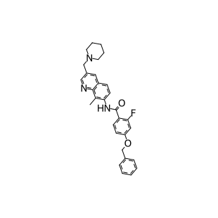 Cc1c(NC(=O)c2ccc(OCc3ccccc3)cc2F)ccc2cc(CN3CCCCC3)cnc12